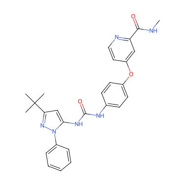 CNC(=O)c1cc(Oc2ccc(NC(=O)Nc3cc(C(C)(C)C)nn3-c3ccccc3)cc2)ccn1